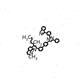 C=C(/C=C\C=C/C)c1cc(-c2cccc(-c3ccc(-c4cc(-c5ccccc5)nc(-c5cccc(-c6cncc7ccccc67)c5)n4)cc3)c2)nc2c1ccc1ccc(C)nc12